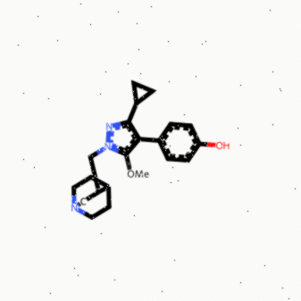 COc1c(-c2ccc(O)cc2)c(C2CC2)nn1CC1CN2CCC1CC2